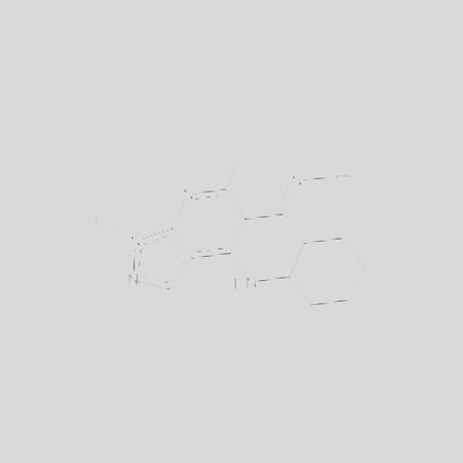 CCn1ncc2c(NC3CCCCC3)c(/C=N/O)c(C)nc21